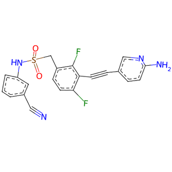 N#Cc1cccc(NS(=O)(=O)Cc2ccc(F)c(C#Cc3ccc(N)nc3)c2F)c1